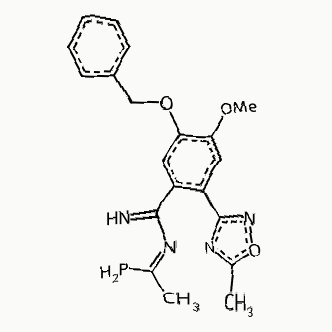 COc1cc(-c2noc(C)n2)c(C(=N)/N=C(/C)P)cc1OCc1ccccc1